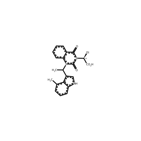 CC[C@@H](C(=O)O)n1c(=O)c2ccccc2n(C(C)c2c[nH]c3cccc(C)c23)c1=O